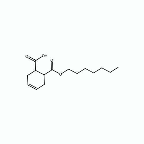 CCCCCCCOC(=O)C1CC=CCC1C(=O)O